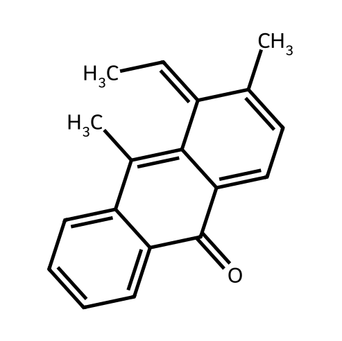 C/C=c1/c(C)ccc2c1=C(C)c1ccccc1C2=O